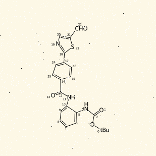 CC(C)(C)OC(=O)Nc1ccccc1NC(=O)c1ccc(-c2ncc(C=O)s2)cc1